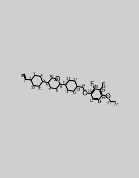 C=CC1CCC(C2CCC(C3CCC(COc4ccc(OCC)c(F)c4F)CC3)OC2)CC1